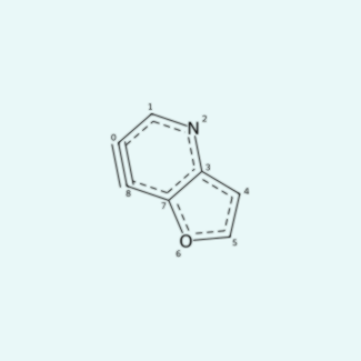 c1cnc2ccoc2c#1